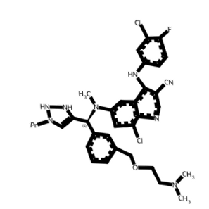 CC(C)N1C=C([C@H](c2cccc(COCCN(C)C)c2)N(C)c2cc(Cl)c3ncc(C#N)c(Nc4ccc(F)c(Cl)c4)c3c2)NN1